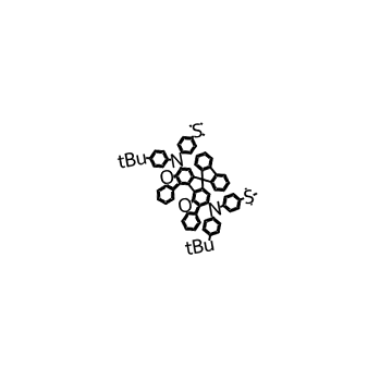 CC(C)(C)c1ccc(N(c2ccc(S(C)(C)C)cc2)c2cc3c(c4c2oc2ccccc24)-c2c(cc(N(c4ccc(C(C)(C)C)cc4)c4ccc(S(C)(C)C)cc4)c4c2oc2ccccc24)C32c3ccccc3-c3ccccc32)cc1